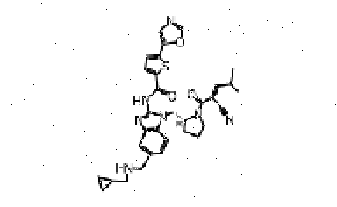 CC(C)C=C(C#N)C(=O)N1CCC[C@@H]1Cn1c(NC(=O)c2ccc(-c3cnco3)s2)nc2cc(CNCC3CC3)ccc21